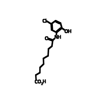 O=C(O)CCCCCCCCC(=O)Nc1cc(Cl)ccc1O